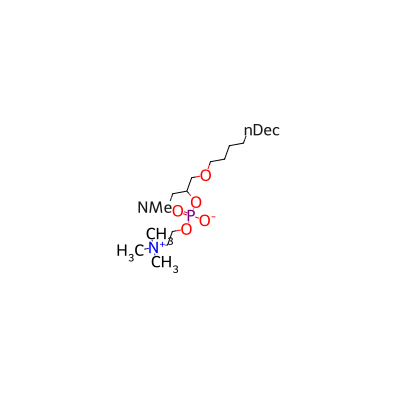 CCCCCCCCCCCCCCOCC(CNC)OP(=O)([O-])OCC[N+](C)(C)C